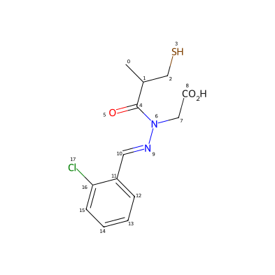 CC(CS)C(=O)N(CC(=O)O)N=Cc1ccccc1Cl